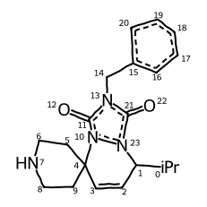 CC(C)C1C=CC2(CCNCC2)n2c(=O)n(Cc3ccccc3)c(=O)n21